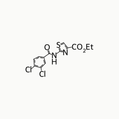 CCOC(=O)c1csc(NC(=O)c2ccc(Cl)c(Cl)c2)n1